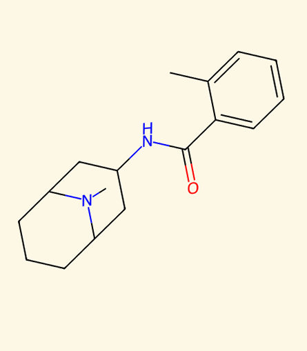 Cc1ccccc1C(=O)NC1CC2CCCC(C1)N2C